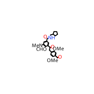 CNc1cc(C(=O)NCC2CCCC2)cc(C(=O)Cc2ccc(C(=O)OC)cc2OC)c1C=O